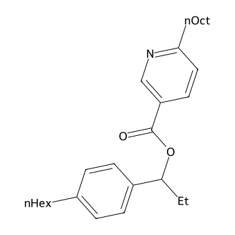 CCCCCCCCc1ccc(C(=O)OC(CC)c2ccc(CCCCCC)cc2)cn1